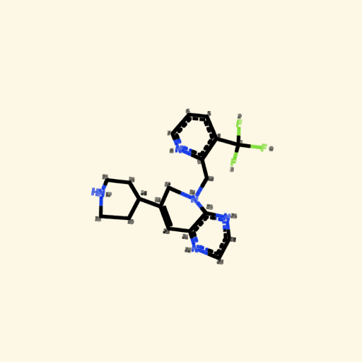 FC(F)(F)c1cccnc1CN1CC(C2CCNCC2)=Cc2nccnc21